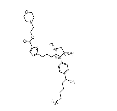 CCCCCC(O)c1ccc([C@@H]2[C@@H](CCCc3ccc(C(=O)OCCN4CCOCC4)s3)[C@H](Cl)C[C@H]2O)cc1